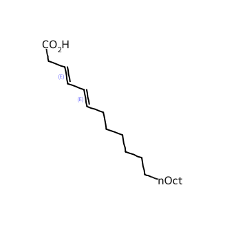 CCCCCCCCCCCCCC/C=C/C=C/CC(=O)O